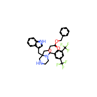 O=C(CCCC1(Cc2c[nH]c3ccccc23)CNCCN1C(=O)c1cc(C(F)(F)F)cc(C(F)(F)F)c1)OCc1ccccc1